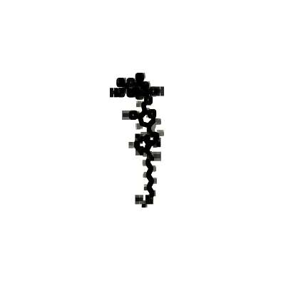 NCCCCCCNc1ncnc2c1ncn2C1COC(COP(=O)(O)OP(=O)(O)OP(=O)(O)O)C(O)C1